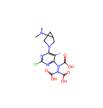 CN(C)C12CC1CN(c1nc(Cl)nc(N(C(=O)O)N(C(=O)O)C(=O)O)c1F)C2